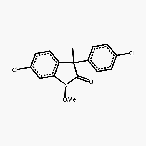 CON1C(=O)C(C)(c2ccc(Cl)cc2)c2ccc(Cl)cc21